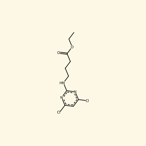 CCOC(=O)CCCNc1nc(Cl)cc(Cl)n1